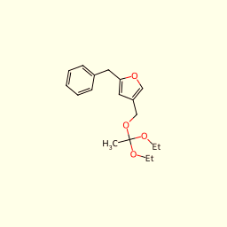 CCOC(C)(OCC)OCc1coc(Cc2ccccc2)c1